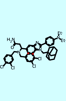 [CH2][CH]N([CH][CH2])c1ccc(-c2nc3cc(C(CC(N)=O)N(Cc4ccc(Cl)c(Cl)c4)Cc4ccc(Cl)c(Cl)c4)ccc3n2CC23CC4CC(CC(C4)C2)C3)cc1